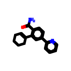 NC(=O)c1ccc(-c2ccccn2)cc1C1=CCCCC1